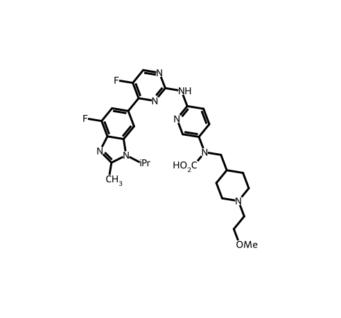 COCCN1CCC(CN(C(=O)O)c2ccc(Nc3ncc(F)c(-c4cc(F)c5nc(C)n(C(C)C)c5c4)n3)nc2)CC1